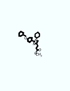 COC(=O)C=Cc1cn(C2CCCCC2)c(-c2ccc(OCc3ccccc3)cc2)n1